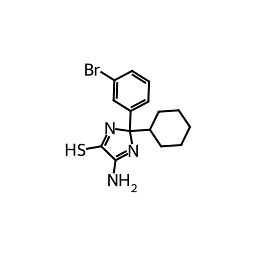 NC1=NC(c2cccc(Br)c2)(C2CCCCC2)N=C1S